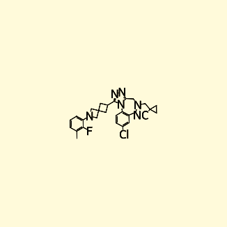 Cc1cccc(N2CC3(CC(c4nnc5n4-c4ccc(Cl)cc4CN(CC4(C#N)CC4)C5)C3)C2)c1F